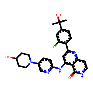 CC(C)(O)c1ccc(-c2cc(Nc3ccc(N4CCC(O)CC4)cn3)c3c(=O)[nH]ccc3n2)c(F)c1